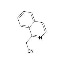 N#CCc1nccc2ccccc12